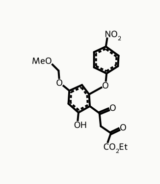 CCOC(=O)C(=O)CC(=O)c1c(O)cc(OCOC)cc1Oc1ccc([N+](=O)[O-])cc1